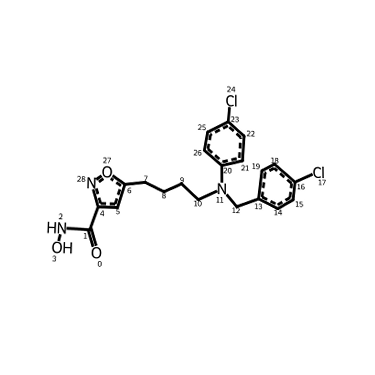 O=C(NO)c1cc(CCCCN(Cc2ccc(Cl)cc2)c2ccc(Cl)cc2)on1